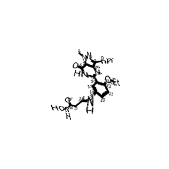 CCCc1nn(C)c2c(=O)[nH]c(-c3cc(NCCC(=O)NO)ccc3OCC)nc12